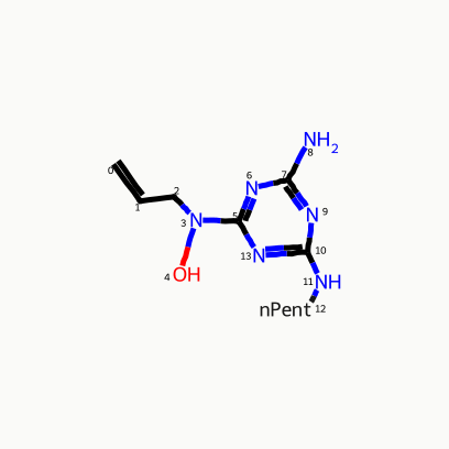 C=CCN(O)c1nc(N)nc(NCCCCC)n1